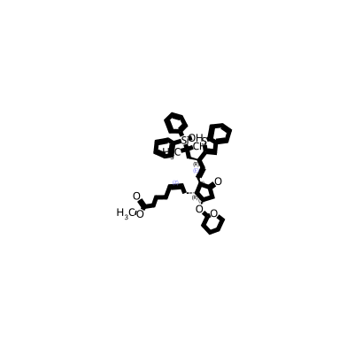 COC(=O)CCC/C=C\C[C@H]1[C@@H](OC2CCCCO2)CC(=O)[C@@H]1/C=C/[C@@H](CC(C)(C)[Si](O)(c1ccccc1)c1ccccc1)c1cc2ccccc2s1